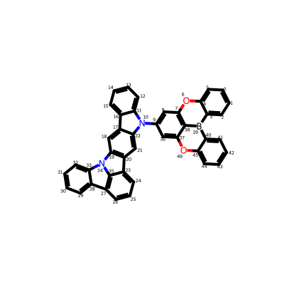 c1ccc2c(c1)Oc1cc(-n3c4ccccc4c4cc5c(cc43)c3cccc4c6ccccc6n5c43)cc3c1B2c1ccccc1O3